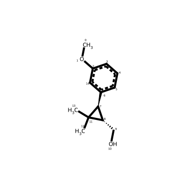 COc1cccc([C@H]2[C@H](CO)C2(C)C)c1